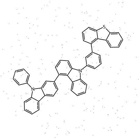 c1ccc(-n2c3ccccc3c3ccc(-c4cccc5c4c4ccccc4n5-c4cccc(-c5cccc6sc7ccccc7c56)c4)cc32)cc1